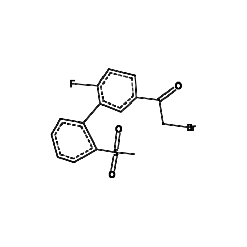 CS(=O)(=O)c1ccccc1-c1cc(C(=O)CBr)ccc1F